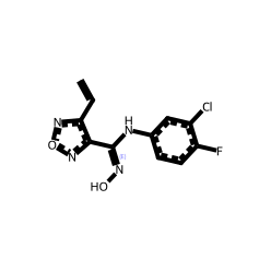 C=Cc1nonc1/C(=N\O)Nc1ccc(F)c(Cl)c1